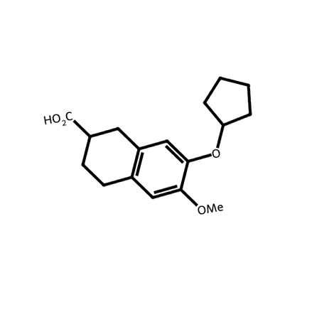 COc1cc2c(cc1OC1CCCC1)CC(C(=O)O)CC2